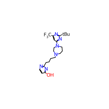 CC(C)(C)c1nc(N2CCCN(CCCCc3nccc(O)n3)CC2)cc(C(F)(F)F)n1